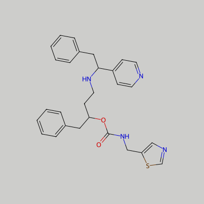 O=C(NCc1cncs1)OC(CCNC(Cc1ccccc1)c1ccncc1)Cc1ccccc1